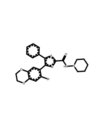 O=C(NN1CCCCC1)c1nc(-c2cc3c(cc2Br)OCCO3)c(-c2ccccc2)s1